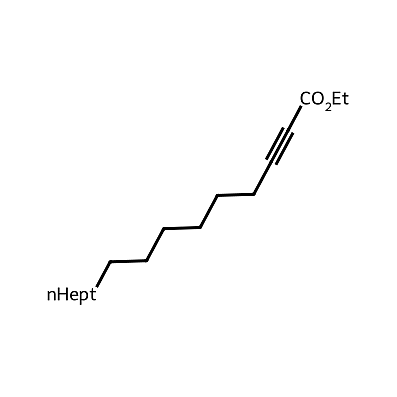 CCCCCCCCCCCCCC#CC(=O)OCC